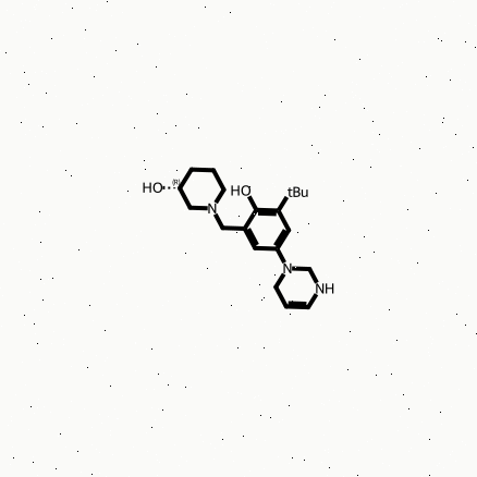 CC(C)(C)c1cc(N2CC=CNC2)cc(CN2CCC[C@@H](O)C2)c1O